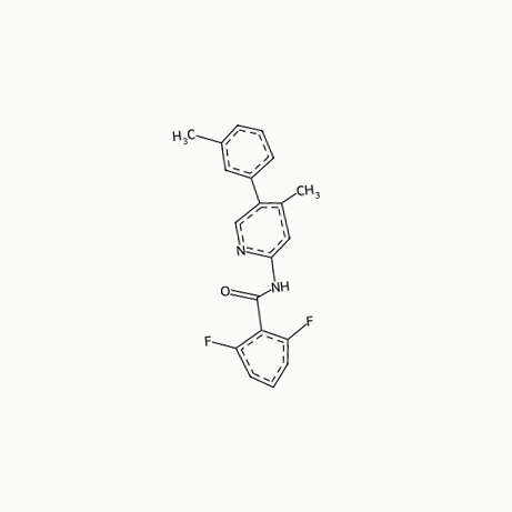 Cc1cccc(-c2cnc(NC(=O)c3c(F)cccc3F)cc2C)c1